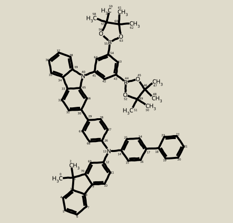 CC1(C)c2ccccc2-c2ccc(N(c3ccc(-c4ccccc4)cc3)c3ccc(-c4ccc5c6ccccc6n(-c6cc(B7OC(C)(C)C(C)(C)O7)cc(B7OC(C)(C)C(C)(C)O7)c6)c5c4)cc3)cc21